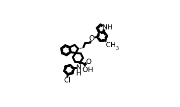 Cc1cc(OCCC[C@H]2Cc3ccccc3C23CCC(Nc2cccc(Cl)c2)(C(=O)O)CC3)c2cc[nH]c2c1